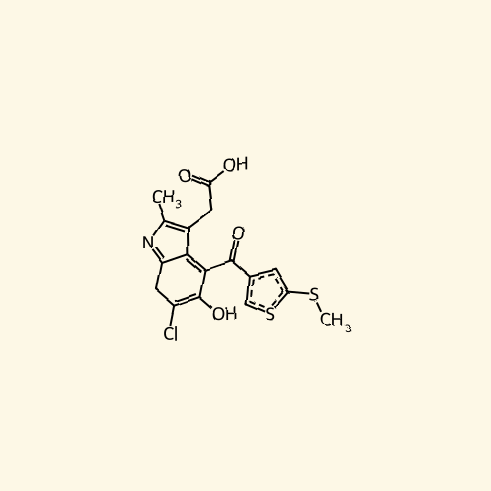 CSc1cc(C(=O)C2=C3C(=NC(C)=C3CC(=O)O)CC(Cl)=C2O)cs1